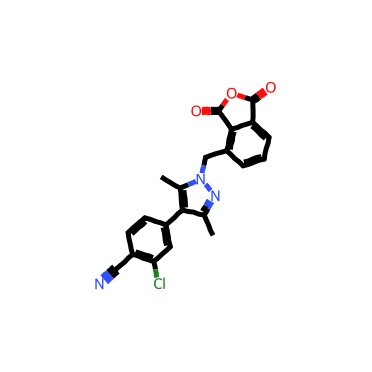 Cc1nn(Cc2cccc3c2C(=O)OC3=O)c(C)c1-c1ccc(C#N)c(Cl)c1